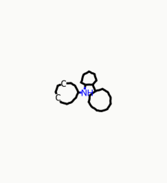 C1CCCCCC(NC2CCCCCC2C2CCCCCCCCCC2)CCCC1